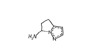 NC1CCc2ccnn21